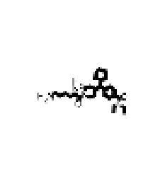 CCN(CC)C(=O)c1ccc(C(=C2CCN(C(=O)C(N)CCCCN)CC2)c2ccccc2)cc1